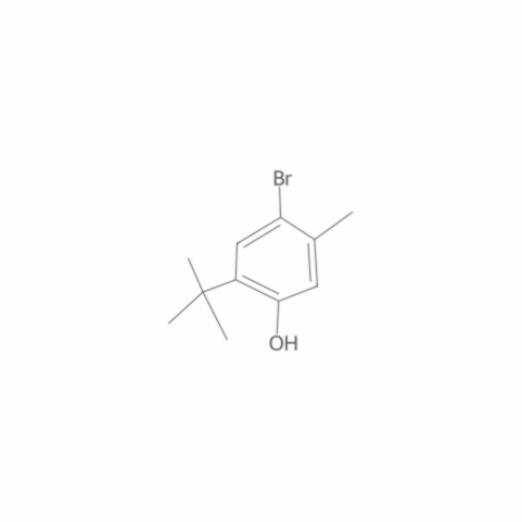 Cc1cc(O)c(C(C)(C)C)cc1Br